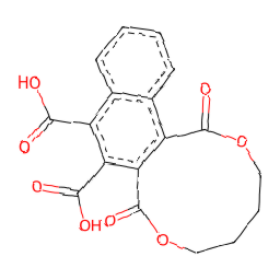 O=C(O)c1c2c(c3ccccc3c1C(=O)O)C(=O)OCCCCOC2=O